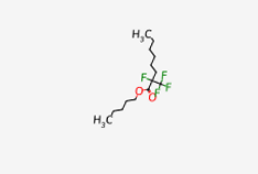 CCCCCCC(F)(C(=O)OCCCCC)C(F)(F)F